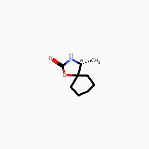 C[C@H]1NC(=O)OC12CCCCC2